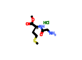 COC(=O)[C@H](CCSC)NC(=O)CN.Cl